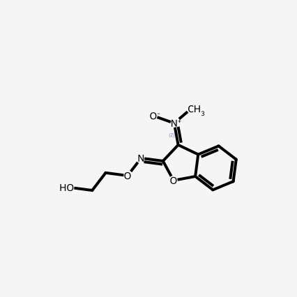 C/[N+]([O-])=C1/C(=NOCCO)Oc2ccccc21